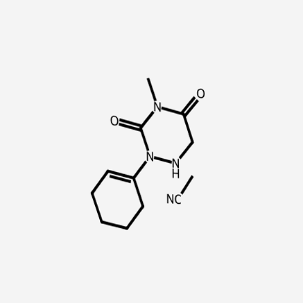 CC#N.CN1C(=O)CNN(C2=CCCCC2)C1=O